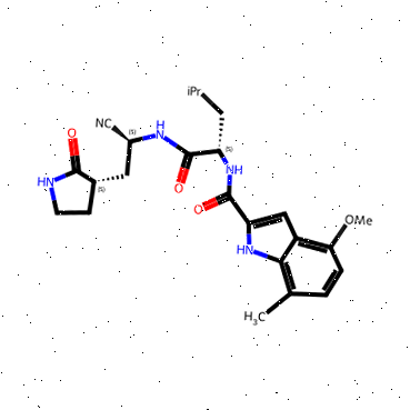 COc1ccc(C)c2[nH]c(C(=O)N[C@@H](CC(C)C)C(=O)N[C@H](C#N)C[C@@H]3CCNC3=O)cc12